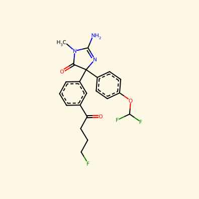 CN1C(=O)C(c2ccc(OC(F)F)cc2)(c2cccc(C(=O)CCCF)c2)N=C1N